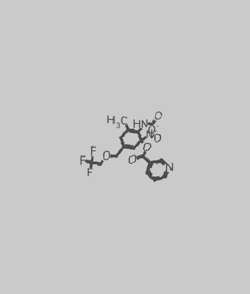 CC1=C(NC=O)C(OC(=O)c2cccnc2)([N+](=O)[O-])C=C(COCC(F)(F)F)C1